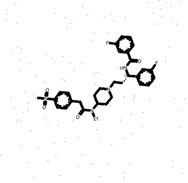 CCN(C(=O)Cc1ccc(S(C)(=O)=O)cc1)C1CCN(CC[C@H](NC(=O)c2cccc(F)c2)c2cccc(F)c2)CC1